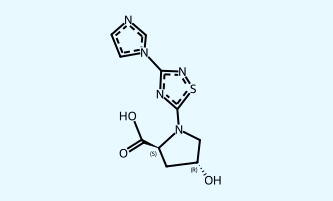 O=C(O)[C@@H]1C[C@@H](O)CN1c1nc(-n2ccnc2)ns1